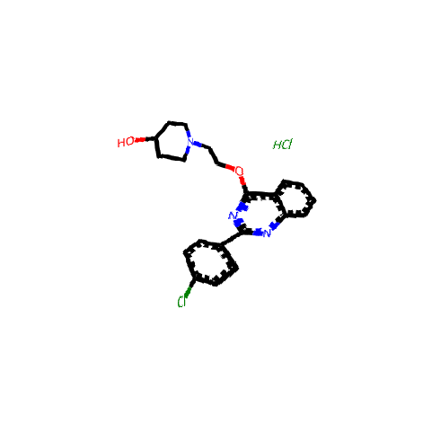 Cl.OC1CCN(CCOc2nc(-c3ccc(Cl)cc3)nc3ccccc23)CC1